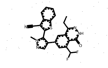 CCc1n[nH]c(=O)c2c(C(F)F)cc(-c3cnn(C)c3-c3sc4ccccc4c3C#N)cc12